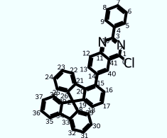 Clc1nc(-c2ccccc2)nc2ccc(-c3cccc4c3-c3ccccc3C43c4ccccc4-c4ccccc43)cc12